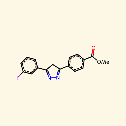 COC(=O)c1ccc(C2=NN=C(c3cccc(I)c3)C2)cc1